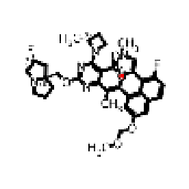 COCOc1cc(-c2oc(=O)c3c(N4CC[C@H]4C)nc(OC[C@@]45CCCN4C[C@H](F)C5)nc3c2C)c2c(-c3cn(C)nn3)c(F)ccc2c1